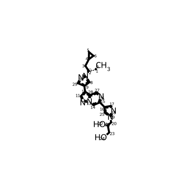 CC[C@@H](CC1CC1)n1cc(-c2cnn3cc(-c4cnn(C[C@@H](O)CO)c4)ncc23)cn1